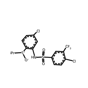 CC(C)[S+]([O-])c1ccc(Cl)cc1NS(=O)(=O)c1ccc(Cl)c(C(F)(F)F)c1